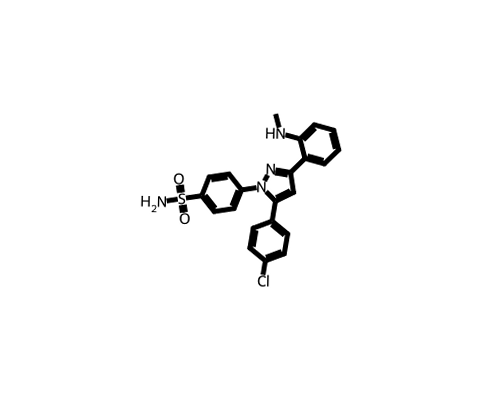 CNc1ccccc1-c1cc(-c2ccc(Cl)cc2)n(-c2ccc(S(N)(=O)=O)cc2)n1